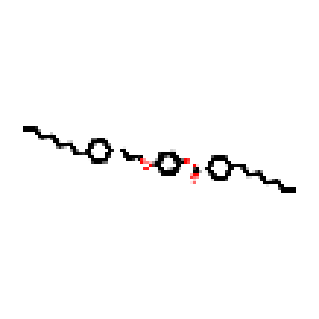 CCCCCCC[C@H]1CC[C@H](CCCOc2ccc(OC(=O)[C@H]3CC[C@H](CCCCCCC)CC3)cc2)CC1